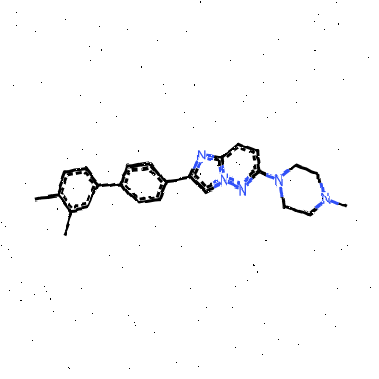 Cc1ccc(-c2ccc(-c3cn4nc(N5CCN(C)CC5)ccc4n3)cc2)cc1C